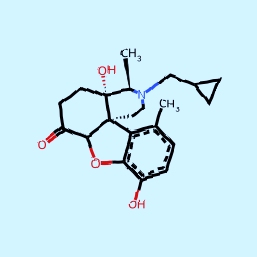 Cc1ccc(O)c2c1[C@]13CCN(CC4CC4)[C@H](C)[C@]1(O)CCC(=O)C3O2